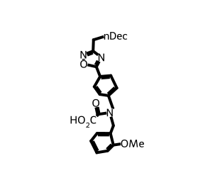 CCCCCCCCCCCc1noc(-c2ccc(CN(Cc3ccccc3OC)C(=O)C(=O)O)cc2)n1